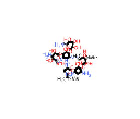 CN[C@@H]1[C@@H](O)[C@H](O[C@H]2[C@H](O)[C@@H](O[C@@H]3O[C@H]([C@@H](C)NC)CC[C@H]3N)[C@H](N)C[C@@H]2N)OC[C@@]1(C)O.NC[C@H]1O[C@H](O[C@H]2[C@H](O)[C@@H](O[C@H]3O[C@H](CO)[C@@H](O)[C@H](N)[C@H]3O)[C@H](N)C[C@@H]2N)[C@H](O)[C@@H](O)[C@@H]1O